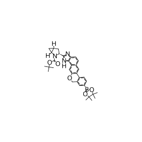 CC(C)(C)OC(=O)N1[C@@H]2C[C@@H]2C[C@H]1c1nc2ccc3cc4c(cc3c2[nH]1)OCc1cc(B2OC(C)(C)C(C)(C)O2)ccc1-4